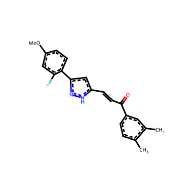 COc1ccc(-c2cc(/C=C/C(=O)c3ccc(C)c(C)c3)[nH]n2)c(F)c1